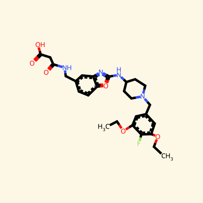 CCOc1cc(CN2CCC(Nc3nc4cc(CNC(=O)CC(=O)O)ccc4o3)CC2)cc(OCC)c1F